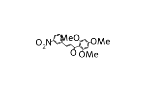 COc1cc(OC)c(C(=O)C=Cc2cccc([N+](=O)[O-])c2)c(OC)c1